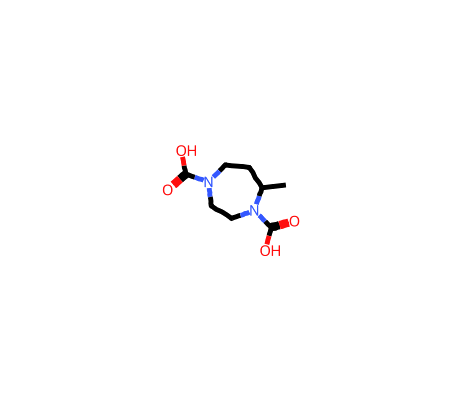 CC1CCN(C(=O)O)CCN1C(=O)O